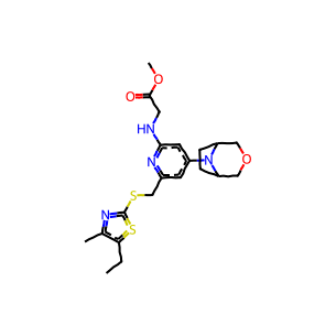 CCc1sc(SCc2cc(N3C4CCC3COC4)cc(NCC(=O)OC)n2)nc1C